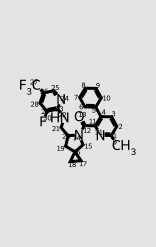 Cc1ccc(-c2ccccc2)c(C(=O)N2CC3(CC3)CC2CNc2ncc(C(F)(F)F)cc2F)n1